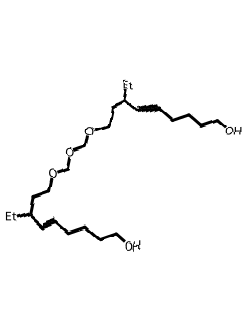 CCC(C=CCCCCO)CCOCOCOCCC(C=CCCCCO)CC